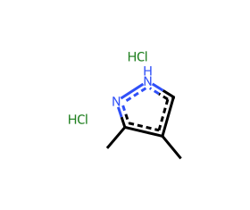 Cc1c[nH]nc1C.Cl.Cl